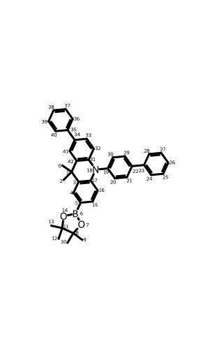 CC1(C)c2cc(B3OC(C)(C)C(C)(C)O3)ccc2N(c2ccc(-c3ccccc3)cc2)c2ccc(-c3ccccc3)cc21